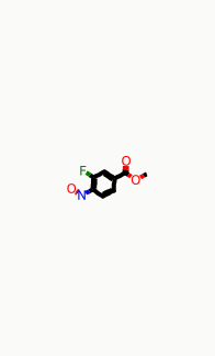 COC(=O)c1ccc(N=O)c(F)c1